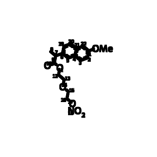 COc1ccc2cc(C(C)C(=O)OCCOCCO[N+](=O)[O-])ccc2c1